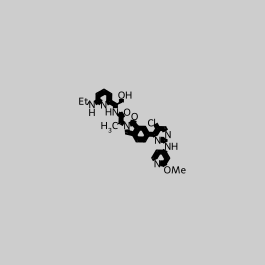 CCNc1cccc([C@@H](CO)NC(=O)[C@@H](C)N2Cc3ccc(-c4nc(Nc5ccnc(OC)c5)ncc4Cl)cc3C2=O)n1